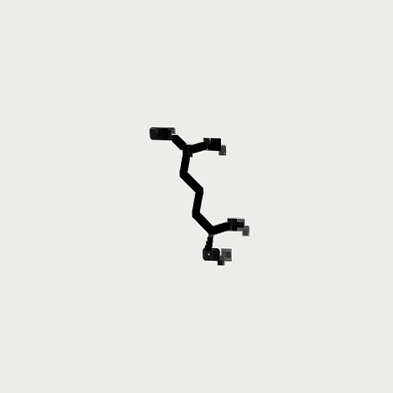 N[C@@H](CCCN(N)C=O)C(=O)O